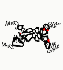 COc1ccc(N(c2ccc(OC)cc2)c2ccc3c(c2)C2(c4cc(N(c5ccc(OC)cc5)c5ccc(OC)cc5)ccc4-c4ccc(N(c5ccc(OC)cc5)C(C)[C@H](C)OC)cc42)c2cc(N(c4ccc(OC)cc4)C(C)C(C)OC)ccc2-3)cc1